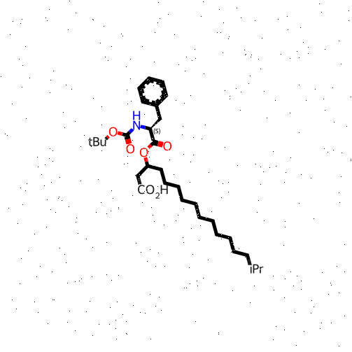 CC(C)CCCCCCCCCCCC(CC(=O)O)OC(=O)[C@H](Cc1ccccc1)NC(=O)OC(C)(C)C